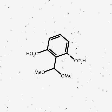 COC(OC)c1c(C(=O)O)cccc1C(=O)O